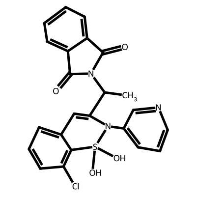 CC(C1=Cc2cccc(Cl)c2S(O)(O)N1c1cccnc1)N1C(=O)c2ccccc2C1=O